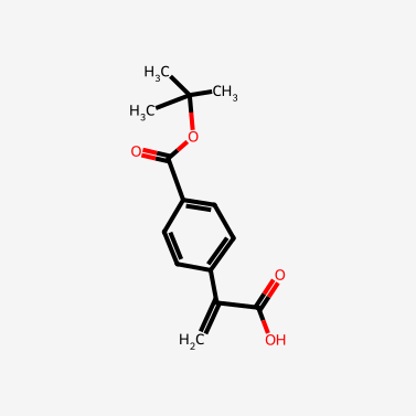 C=C(C(=O)O)c1ccc(C(=O)OC(C)(C)C)cc1